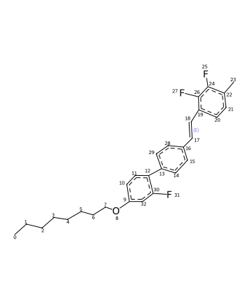 CCCCCCCCOc1ccc(-c2ccc(/C=C/c3ccc(C)c(F)c3F)cc2)c(F)c1